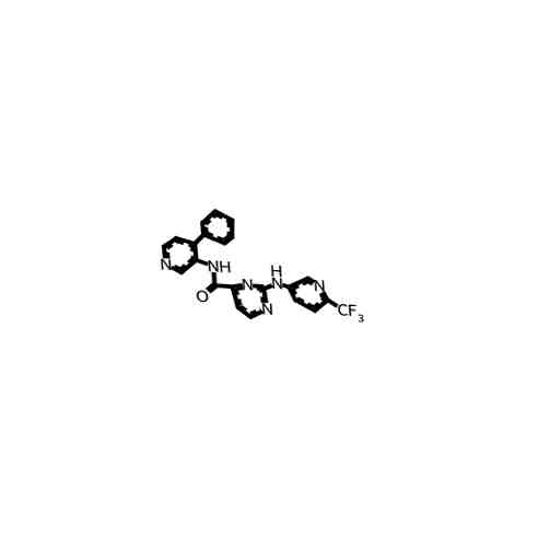 O=C(Nc1cnccc1-c1ccccc1)c1ccnc(Nc2ccc(C(F)(F)F)nc2)n1